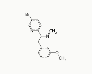 C=NC(Cc1cccc(OC)c1)c1ccc(Br)cn1